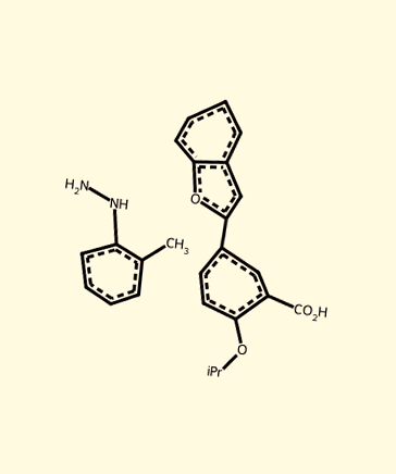 CC(C)Oc1ccc(-c2cc3ccccc3o2)cc1C(=O)O.Cc1ccccc1NN